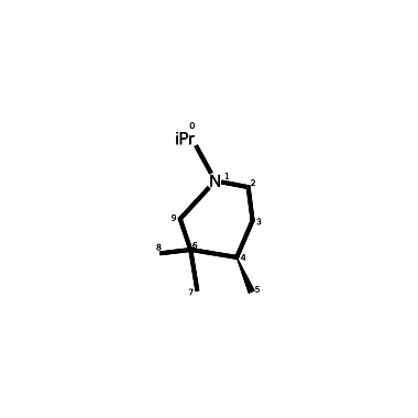 CC(C)N1CC[C@@H](C)C(C)(C)C1